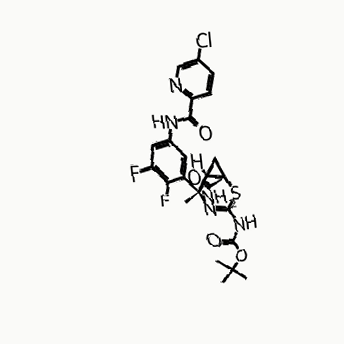 CC(C)(C)OC(=O)NC1=N[C@](C)(c2cc(NC(=O)c3ccc(Cl)cn3)cc(F)c2F)[C@@H]2C[C@]2(C(N)=O)S1